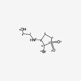 O=S1(=O)CCC(NCCO)C1Br